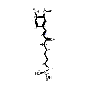 COc1cc(/C=C/C(=O)NCCCCON(O)O)ccc1O